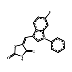 O=C1NC(=O)C(=Cc2cn(-c3ccccc3)c3cc(F)ccc23)S1